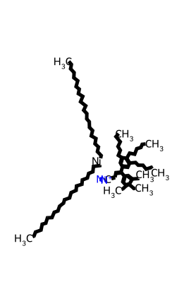 CCCCCCCCCCCCCCCCCCCCCCC[CH2][Ni][CH2]CCCCCCCCCCCCCCCCCCCCCCC.CCCCCCc1cc(C(=CC=C=[N+]=[N-])c2cc(CC)c(CC)c(CC)c2)cc(CCCCCC)c1CCCCCC